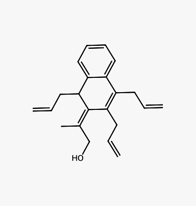 C=CCC1=C(CC=C)c2ccccc2C(CC=C)C1=C(C)CO